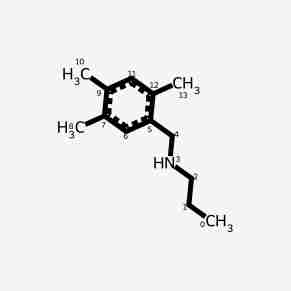 CCCNCc1cc(C)c(C)cc1C